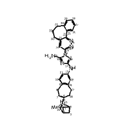 CO[C@@H]1C2CC1N([C@H]1CCc3ccc(Nc4nc(N)n(-c5cc6c(nn5)-c5ccccc5CCC6)n4)cc3CC1)C2